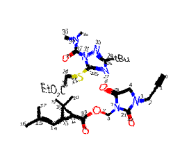 C#CCN1CC(=O)N(COC(=O)C2C(C=C(C)C)C2(C)C)C1=O.CCOC(=O)CSc1nc(C(C)(C)C)nn1C(=O)N(C)C